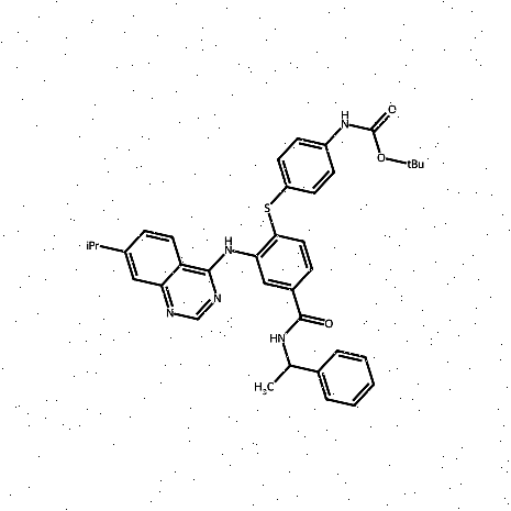 CC(C)c1ccc2c(Nc3cc(C(=O)NC(C)c4ccccc4)ccc3Sc3ccc(NC(=O)OC(C)(C)C)cc3)ncnc2c1